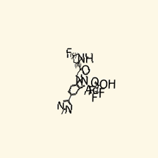 CC(=O)c1nn(CC(=O)[C@H]2C[C@H](F)CN2)c2ccc(-c3cnc(C)nc3)cc12.O=C(O)C(F)(F)F